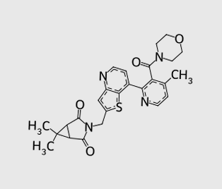 Cc1ccnc(-c2ccnc3cc(CN4C(=O)C5C(C4=O)C5(C)C)sc23)c1C(=O)N1CCOCC1